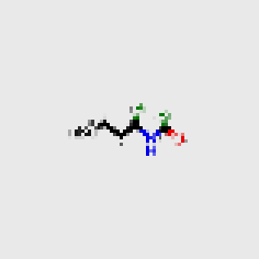 CCCCCCC(Br)NC(=O)Br